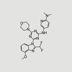 COc1cccc2c1nc(C(F)F)n2-c1nc(Nc2ccc(N(C)C)nc2)nc(N2CCOCC2)n1